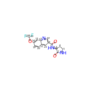 O=C(N[C@H]1CCNC1=O)c1cnc2cc(OC(F)F)ccc2c1